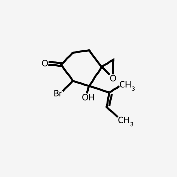 CC=C(C)C1(O)C(Br)C(=O)CCC12CO2